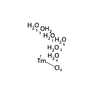 O.O.O.O.O.O.[Cl][Tm]